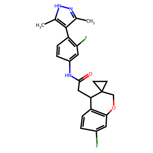 Cc1n[nH]c(C)c1-c1ccc(NC(=O)CC2c3ccc(F)cc3OCC23CC3)cc1F